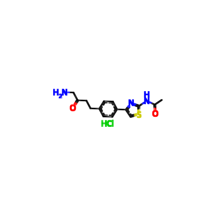 CC(=O)Nc1nc(-c2ccc(CCC(=O)CN)cc2)cs1.Cl